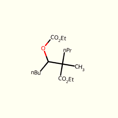 CCCCC(OC(=O)OCC)C(C)(CCC)C(=O)OCC